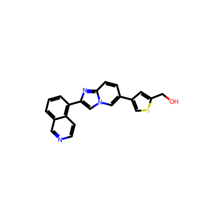 OCc1cc(-c2ccc3nc(-c4cccc5cnccc45)cn3c2)cs1